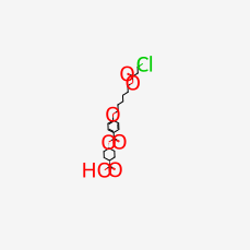 O=C(CCCl)OCCCCCCOc1ccc(C(=O)O[C@H]2CC[C@H](C(=O)O)CC2)cc1